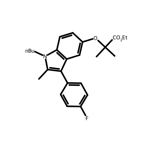 CCCCn1c(C)c(-c2ccc(F)cc2)c2cc(OC(C)(C)C(=O)OCC)ccc21